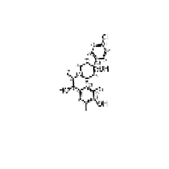 Cc1cc([C@@H](O)[C@@H](C)N2CCC(O)(c3ccc(Cl)cc3)CC2)cc(C)c1O